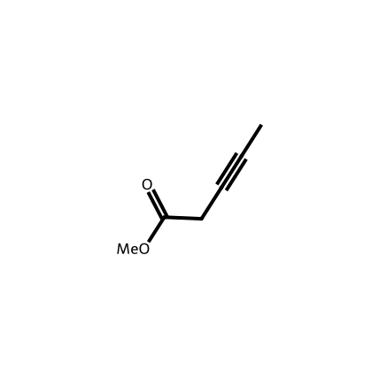 CC#CCC(=O)OC